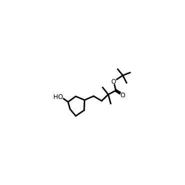 CC(C)(C)OC(=O)C(C)(C)CCC1CCCC(O)C1